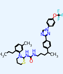 CCCc1ccc(C)cc1N1CCCSC1NC(=O)NCCCC(C)c1ccc(-c2ncn(-c3ccc(OC(F)(F)F)cc3)n2)cc1